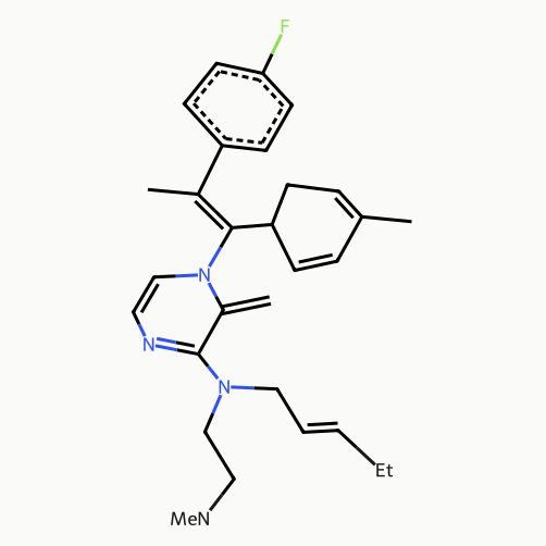 C=C1C(N(C/C=C/CC)CCNC)=NC=CN1/C(=C(\C)c1ccc(F)cc1)C1C=CC(C)=CC1